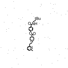 Cc1cccc(CCN2CCN(C(=O)Oc3ccc(C(=O)NCCC(C)(C)C)cc3)CC2)n1